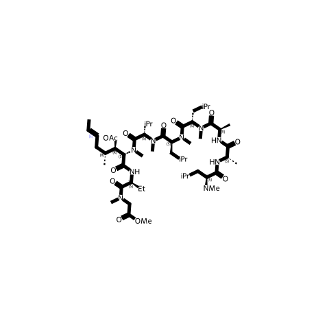 C/C=C/C[C@@H](C)[C@@H](OC(C)=O)[C@@H](C(=O)N[C@@H](CC)C(=O)N(C)CC(=O)OC)N(C)C(=O)[C@H](C(C)C)N(C)C(=O)[C@H](CC(C)C)N(C)C(=O)[C@H](CC(C)C)N(C)C(=O)[C@@H](C)NC(=O)[C@H](C)NC(=O)[C@H](CC(C)C)NC